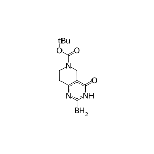 Bc1nc2c(c(=O)[nH]1)CN(C(=O)OC(C)(C)C)CC2